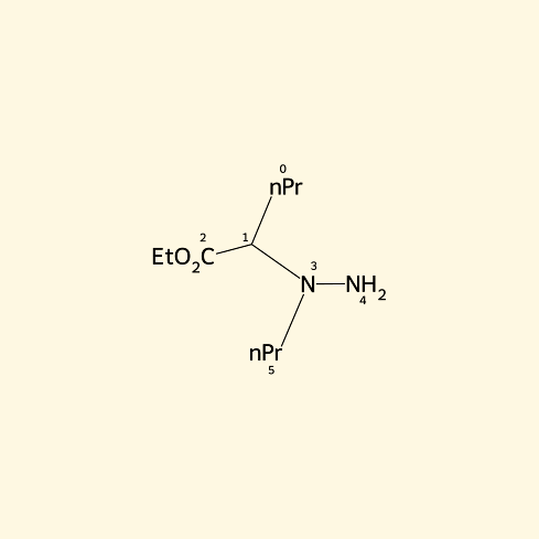 CCCC(C(=O)OCC)N(N)CCC